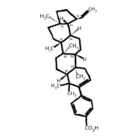 C=C[C@@H]1CC[C@]2(C)CC[C@]3(C)[C@H](CC[C@@H]4[C@@]5(C)CC=C(c6ccc(C(=O)O)cc6)C(C)(C)[C@@H]5CC[C@]43C)[C@@H]12